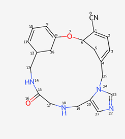 N#CC1=CC=C2CC1OC1=CC=CC(CNC(=O)CNCc3cncn3C2)C1